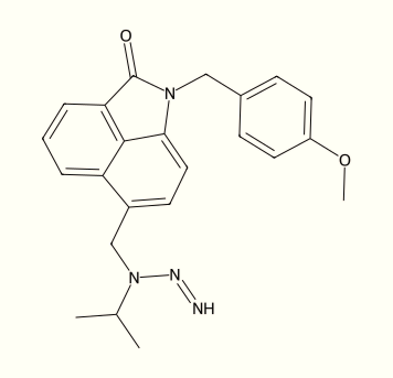 COc1ccc(CN2C(=O)c3cccc4c(CN(N=N)C(C)C)ccc2c34)cc1